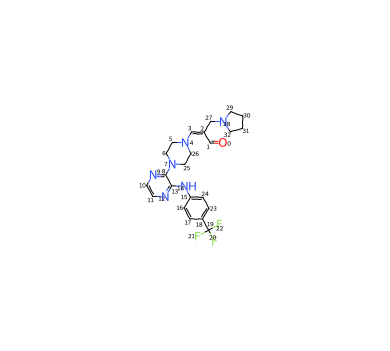 O=CC(=CN1CCN(c2nccnc2Nc2ccc(C(F)(F)F)cc2)CC1)CN1CCCC1